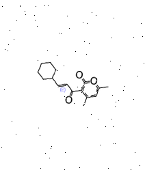 Cc1cc(C)c(C(=O)/C=C/C2CCCCC2)c(=O)o1